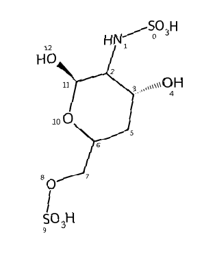 O=S(=O)(O)NC1[C@H](O)CC(COS(=O)(=O)O)O[C@H]1O